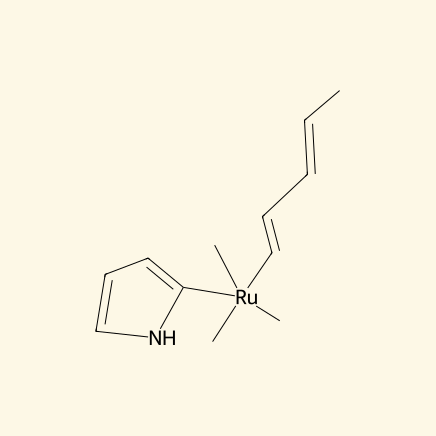 CC=CC=[CH][Ru]([CH3])([CH3])([CH3])[c]1ccc[nH]1